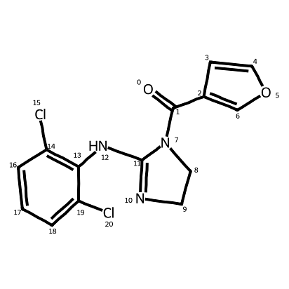 O=C(c1ccoc1)N1CCN=C1Nc1c(Cl)cccc1Cl